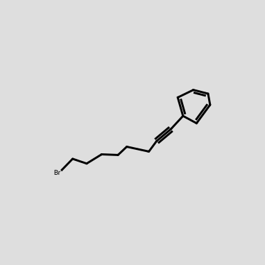 BrCCCCCCC#Cc1ccccc1